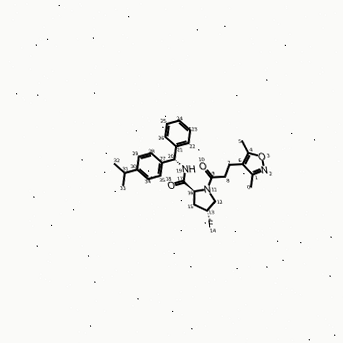 Cc1noc(C)c1CCC(=O)N1C[C@H](F)C[C@H]1C(=O)N[C@@H](c1ccccc1)c1ccc(C(C)C)cc1